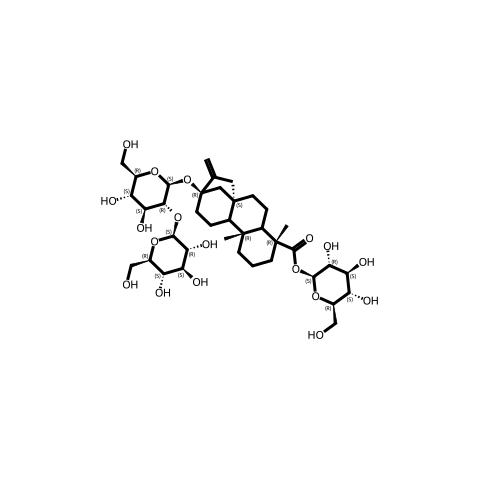 C=C1C[C@]23CCC4[C@](C)(CCC[C@@]4(C)C(=O)O[C@@H]4O[C@H](CO)[C@@H](O)[C@H](O)[C@H]4O)C2CC[C@@]1(O[C@@H]1O[C@H](CO)[C@@H](O)[C@H](O)[C@H]1O[C@@H]1O[C@H](CO)[C@@H](O)[C@H](O)[C@H]1O)C3